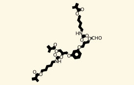 C=C(C)C(=O)OCCCCCNC(=O)OC(COC=O)COc1cccc(OCC(COC(=O)C(=C)C)OC(=O)NCCCCCOC(=O)C(=C)C)c1